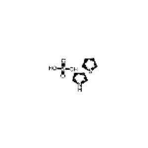 O=S(=O)(O)O.c1cc[nH]c1.c1ccsc1